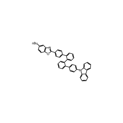 CCCCc1ccc2oc(-c3ccc(-c4ccccc4-c4ccccc4-c4ccc(-n5c6ccccc6c6ccccc65)cc4)cc3)nc2c1